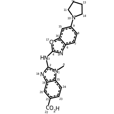 Cn1c(Nc2nc3ccc(N4CCCC4)cc3o2)nc2cc(C(=O)O)ccc21